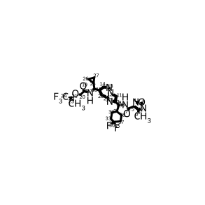 Cc1nonc1C(=O)N[C@H](c1cn2ncc(C(NC(=O)CO[C@@H](C)C(F)(F)F)C3CC3)cc2n1)C1CCC(F)(F)CC1